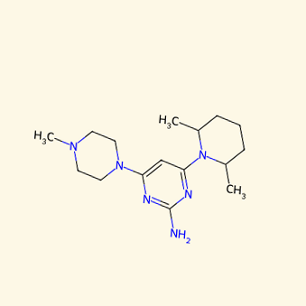 CC1CCCC(C)N1c1cc(N2CCN(C)CC2)nc(N)n1